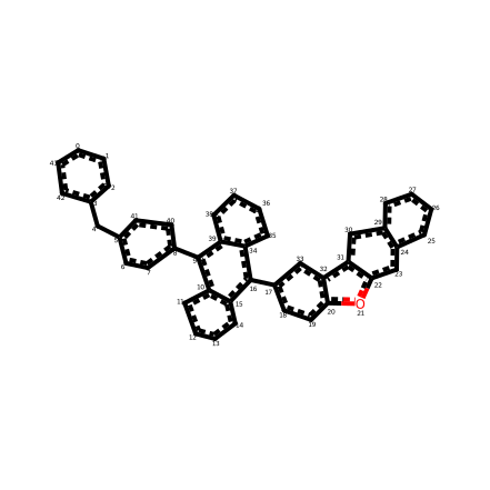 c1ccc(Cc2ccc(-c3c4ccccc4c(-c4ccc5oc6cc7ccccc7cc6c5c4)c4ccccc34)cc2)cc1